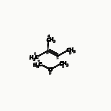 CC=C(C)C.COC